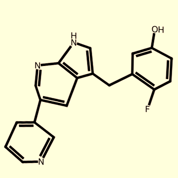 Oc1ccc(F)c(Cc2c[nH]c3ncc(-c4cccnc4)cc23)c1